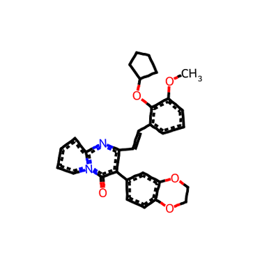 COc1cccc(C=Cc2nc3ccccn3c(=O)c2-c2ccc3c(c2)OCCO3)c1OC1CCCC1